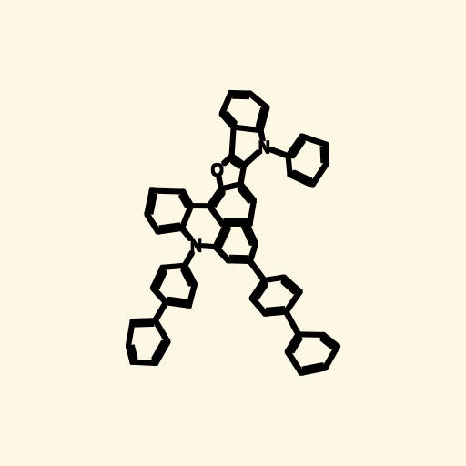 c1ccc(-c2ccc(-c3cccc(N(c4ccc(-c5ccccc5)cc4)c4ccccc4-c4cccc5c4oc4c6ccccc6n(-c6ccccc6)c54)c3)cc2)cc1